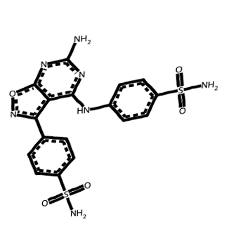 Nc1nc(Nc2ccc(S(N)(=O)=O)cc2)c2c(-c3ccc(S(N)(=O)=O)cc3)noc2n1